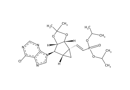 CC(C)OP(=O)(/C=C/[C@]12C[C@@H]1[C@@H](n1cnc3c(Cl)ncnc31)[C@@H]1OC(C)(C)O[C@@H]12)OC(C)C